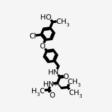 CC(=O)N[C@H](CC(C)C)C(=O)NCc1ccc(Oc2ccc(C(C)O)cc2Cl)cc1